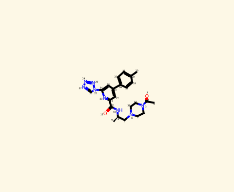 CC(=O)N1CCN(C[C@@H](C)NC(=O)c2cc(-c3ccc(C)cc3)cc(-n3cnnn3)n2)CC1